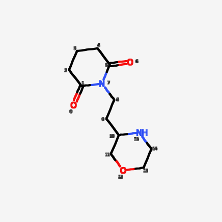 O=C1CCCC(=O)N1CCC1COCCN1